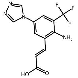 Nc1c(/C=C/C(=O)O)cc(-n2cnnc2)cc1C(F)(F)F